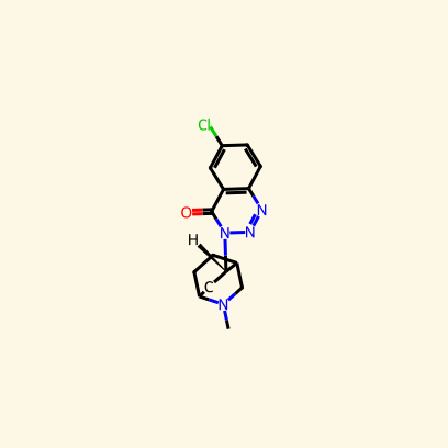 CN1CC2CCC1C[C@@H]2n1nnc2ccc(Cl)cc2c1=O